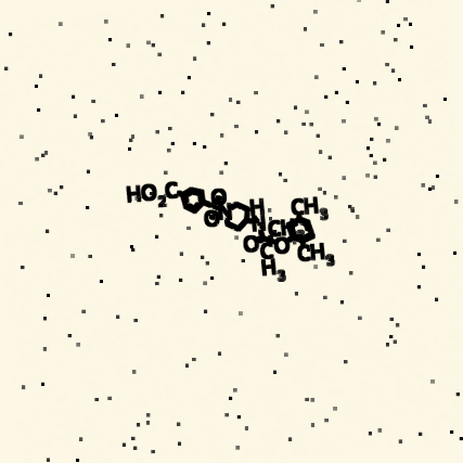 Cc1ccc(C)c(OC(C)(C)C(=O)NC2CCN(S(=O)(=O)c3ccc(C(=O)O)cc3)CC2)c1